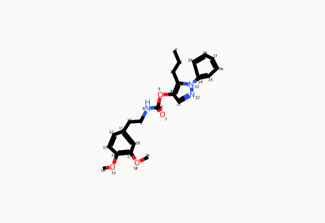 CCCc1c(OC(=O)NCCc2ccc(OC)c(OC)c2)cnn1-c1ccccc1